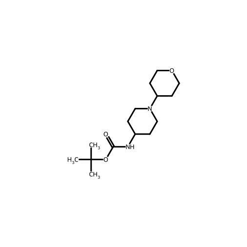 CC(C)(C)OC(=O)NC1CCN(C2CCOCC2)CC1